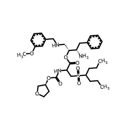 CCCC(CCC)S(=O)(=O)CC(NC(=O)O[C@H]1CCOC1)C(=O)O[C@H](CNCc1cccc(OC)c1)[C@@H](N)Cc1ccccc1